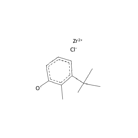 Cc1c([O-])cccc1C(C)(C)C.[Cl-].[Zr+2]